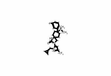 CN(C)C1(c2cccc(F)c2)CCC2(CC1)CN(c1cc(C(F)(F)F)nn1CC1CC1)C(=O)N2